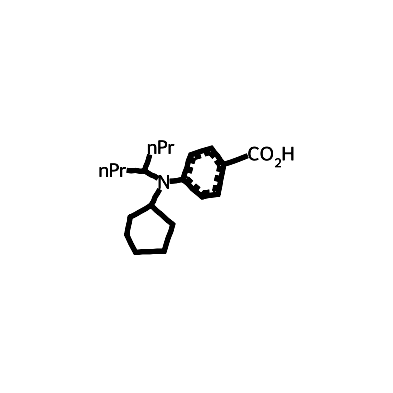 CCCC(CCC)N(c1ccc(C(=O)O)cc1)C1CCCCC1